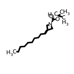 CCCCCCCCCC=C1CN(C(=O)OC(C)(C)C)C1